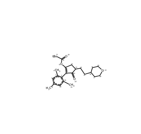 Cc1cc(C)c(C2=C(OC(=O)C(C)(C)C)CC(CCC3CCOCC3)C2=O)c(C)c1